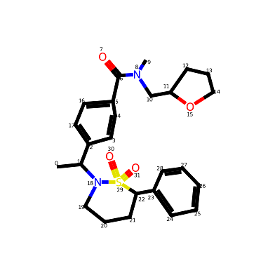 CC(c1ccc(C(=O)N(C)CC2CCCO2)cc1)N1CCCC(c2ccccc2)S1(=O)=O